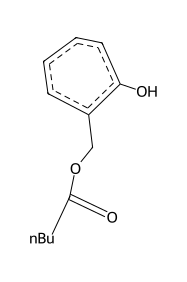 CCCCC(=O)OCc1ccccc1O